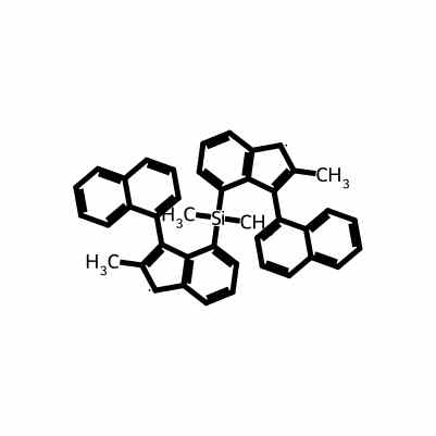 CC1=C(c2cccc3ccccc23)c2c(cccc2[Si](C)(C)c2cccc3c2C(c2cccc4ccccc24)=C(C)[CH]3)[CH]1